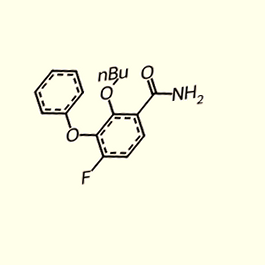 CCCCOc1c(C(N)=O)ccc(F)c1Oc1ccccc1